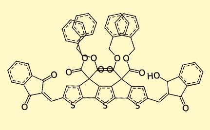 O=C1C(=Cc2cc3c(s2)-c2sc4c(c2C3(C(=O)OCc2ccccc2)C(=O)OCc2ccccc2)C(C(=O)OCc2ccccc2)(C(=O)OCc2ccccc2)c2cc(/C=C3/C(=O)c5ccccc5C3O)sc2-4)C(=O)c2ccccc21